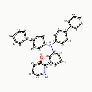 c1ccc(-c2ccc(N(c3ccc(-c4ccccc4)cc3)c3cccc4c3oc3cccnc34)cc2)cc1